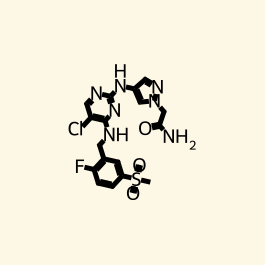 CS(=O)(=O)c1ccc(F)c(CNc2nc(Nc3cnn(CC(N)=O)c3)ncc2Cl)c1